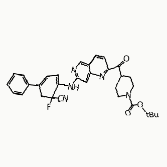 CC(C)(C)OC(=O)N1CCC(C(=O)c2ccc3cnc(NC4=CC=C(c5ccccc5)CC4(F)C#N)cc3n2)CC1